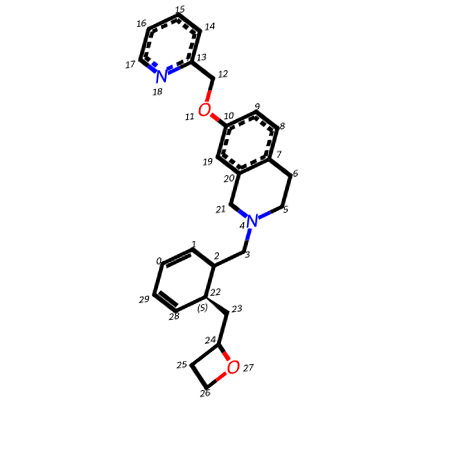 C1=CC(CN2CCc3ccc(OCc4ccccn4)cc3C2)[C@@H](CC2CCO2)C=C1